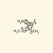 CCC(=O)O[C@H]1C[C@@H](OC(C)=O)[C@H](n2c(=O)n(CC(F)(F)F)c3cnc(N)nc32)O1